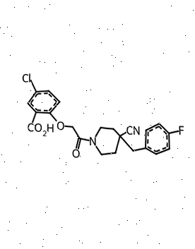 N#CC1(Cc2ccc(F)cc2)CCN(C(=O)COc2ccc(Cl)cc2C(=O)O)CC1